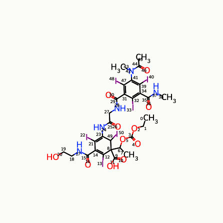 CCOC(=O)OC(C)C1(C(=O)O)C(I)=C(C(=O)NCCO)C(I)=C(NC(=O)CNC(=O)c2c(I)c(C(=O)NC)c(I)c(N(C)C(C)=O)c2I)C1I